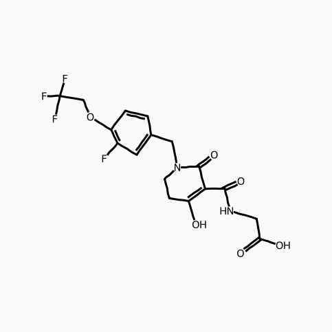 O=C(O)CNC(=O)C1=C(O)CCN(Cc2ccc(OCC(F)(F)F)c(F)c2)C1=O